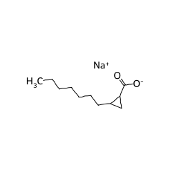 CCCCCCCC1CC1C(=O)[O-].[Na+]